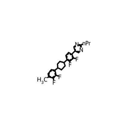 CCCc1ncc(-c2ccc(C3CCC(c4ccc(C)c(F)c4F)CC3)c(F)c2F)cn1